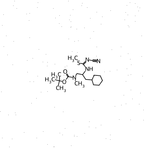 CS/C(=N/C#N)NC(CC1CCCCC1)CN(C)C(=O)OC(C)(C)C